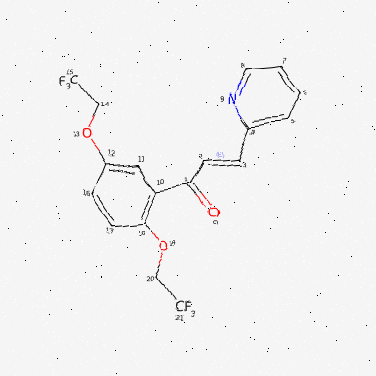 O=C(/C=C/c1ccccn1)c1cc(OCC(F)(F)F)ccc1OCC(F)(F)F